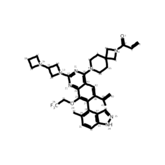 C=CC(=O)N1CC2(CCN(c3nc(N4CC(N5CCC5)C4)nc4c(OCC(F)(F)F)c(-c5c(C)ccc6[nH]ncc56)c(C(=C)C)cc34)CC2)C1